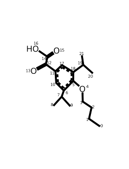 CCCCOc1c(C(C)C)cc(C(=O)C(=O)O)cc1C(C)C